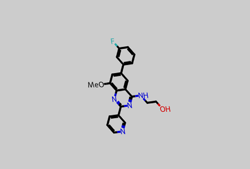 COc1cc(-c2cccc(F)c2)cc2c(NCCO)nc(-c3cccnc3)nc12